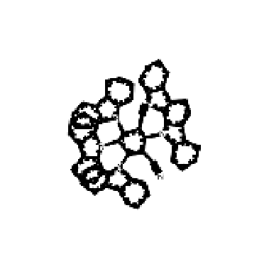 N#Cc1c(-n2c3ccccc3c3ccccc32)c(-n2c3ccccc3c3ccccc32)c(-n2c3ccccc3c3ccccc32)c(C#N)c1-n1c2ccccc2c2ccc3c4ccccc4oc3c21